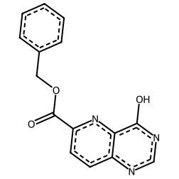 O=C(OCc1ccccc1)c1ccc2ncnc(O)c2n1